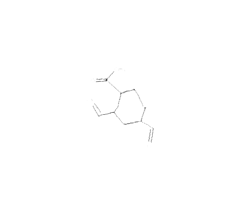 CC(=O)C1CCC(C=O)CC1C=O